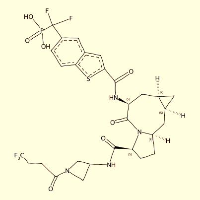 O=C(N[C@H]1C[C@H]2C[C@H]2C[C@H]2CC[C@@H](C(=O)NC3CN(C(=O)CCC(F)(F)F)C3)N2C1=O)c1cc2cc(C(F)(F)P(=O)(O)O)ccc2s1